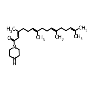 CC(C)=CCC/C(C)=C/CC/C(C)=C/CC/C(C)=C/C(=O)N1CCNCC1